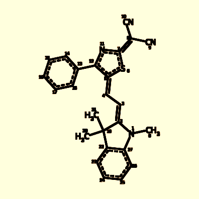 CN1/C(=C/C=c2\sc(=C(C#N)C#N)nc2-c2ccccc2)C(C)(C)c2ccccc21